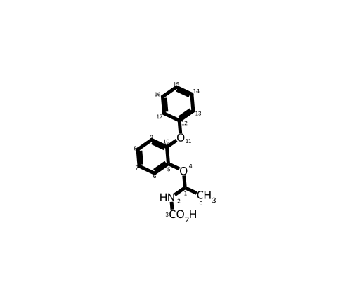 CC(NC(=O)O)Oc1ccccc1Oc1ccccc1